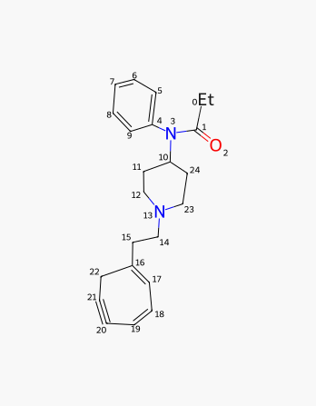 CCC(=O)N(c1ccccc1)C1CCN(CCC2=CC=CC#CC2)CC1